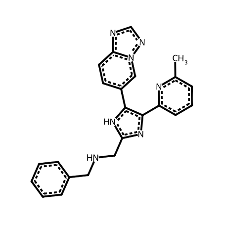 Cc1cccc(-c2nc(CNCc3ccccc3)[nH]c2-c2ccc3ncnn3c2)n1